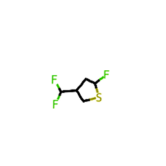 FC1CC(C(F)F)CS1